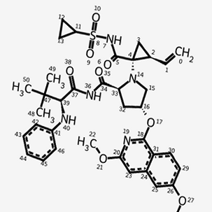 C=C[C@@H]1C[C@@]1(C(=O)NS(=O)(=O)C1CC1)N1C[C@H](Oc2nc(OC)cc3cc(OC)ccc23)C[C@H]1C(=O)NC(=O)[C@@H](Nc1ccccc1)C(C)(C)C